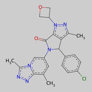 Cc1nn(C2COC2)c2c1C(c1ccc(Cl)cc1)N(c1cc(C)c3nnc(C)n3c1)C2=O